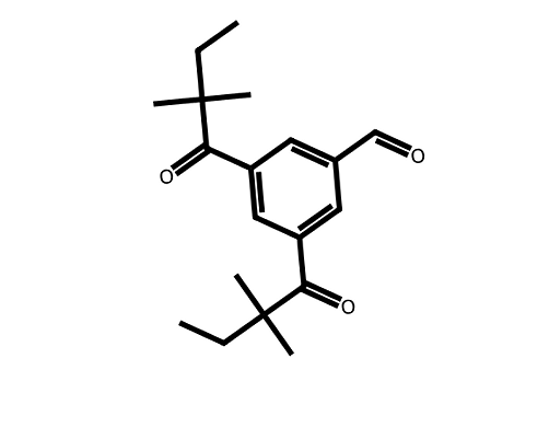 CCC(C)(C)C(=O)c1cc(C=O)cc(C(=O)C(C)(C)CC)c1